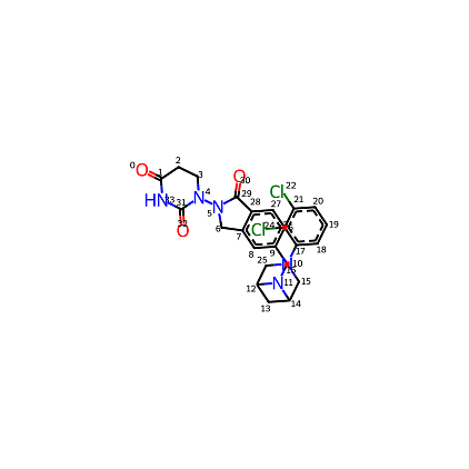 O=C1CCN(N2Cc3cc(CN4C5CC4CN(c4cccc(Cl)c4Cl)C5)ccc3C2=O)C(=O)N1